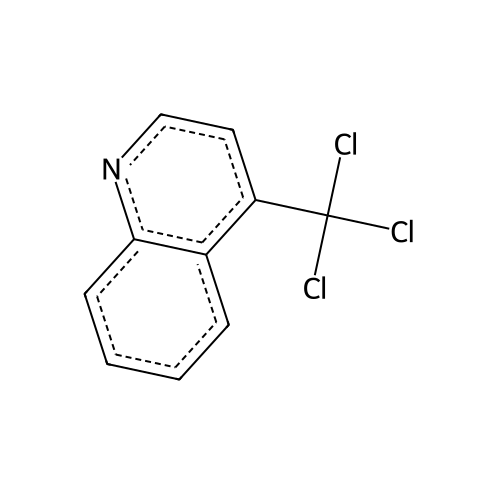 ClC(Cl)(Cl)c1ccnc2ccccc12